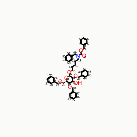 O=C(OCc1ccccc1)N(CCCCCO[C@@H]1O[C@H](COCc2ccccc2)[C@H](OCc2ccccc2)[C@H](O)[C@H]1OCc1ccccc1)Cc1ccccc1